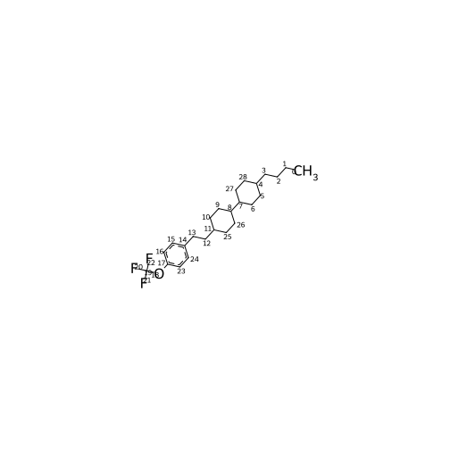 CCCCC1CCC(C2CCC(CCc3ccc(OC(F)(F)F)cc3)CC2)CC1